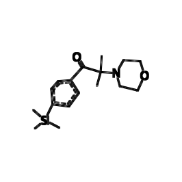 CC(C)(C(=O)c1ccc([Si](C)(C)C)cc1)N1CCOCC1